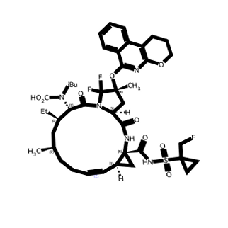 CCC(C)N(C(=O)O)[C@@H]1C(=O)N2[C@@H](C[C@@](C)(Oc3nc4c(c5ccccc35)CCCO4)C2(F)F)C(=O)N[C@]2(C(=O)NS(=O)(=O)C3(CF)CC3)C[C@H]2/C=C\CC[C@@H](C)C[C@H]1CC